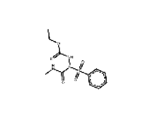 CCOC(=O)NN(C(=O)NC)S(=O)(=O)c1ccccc1